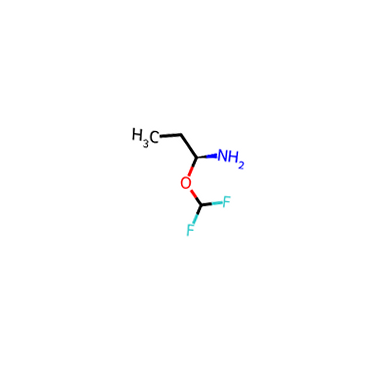 CC[C@@H](N)OC(F)F